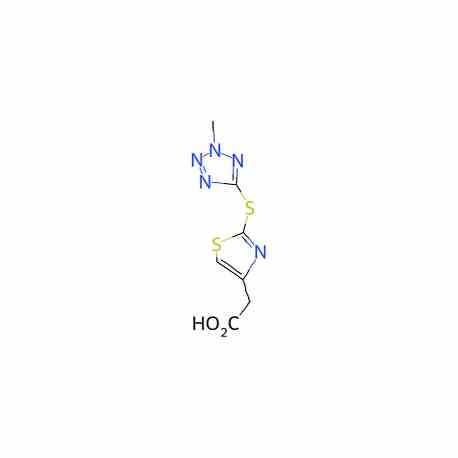 Cn1nnc(Sc2nc(CC(=O)O)cs2)n1